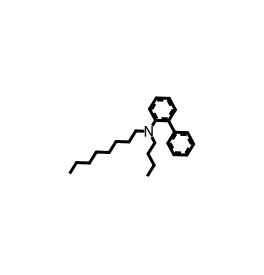 CCCCCCCCN(CCCC)c1ccccc1-c1ccccc1